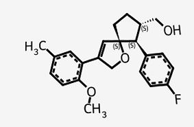 COc1ccc(C)cc1C1=C[C@@]2(CC[C@H](CO)[C@H]2c2ccc(F)cc2)OC1